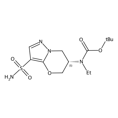 CCN(C(=O)OC(C)(C)C)[C@@H]1COc2c(S(N)(=O)=O)cnn2C1